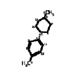 Cc1ccc([C@H]2CC[C@H](C)CC2)cc1